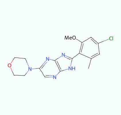 COc1cc(Cl)cc(C)c1-c1nc2nc(N3CCOCC3)cnc2[nH]1